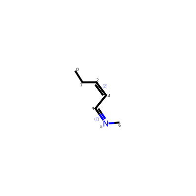 CC/C=C\C=N/C